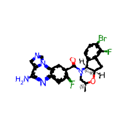 C[C@H]1CN(C(=O)c2cc3c(cc2F)nc(N)c2cncn23)[C@H]2c3ccc(Br)c(F)c3C[C@H]2O1